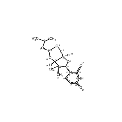 CC(C)O[P@@]1OC[C@H]2O[C@@H](n3ccc(=O)[nH]c3=O)[C@](C)(Cl)[C@@H]2O1